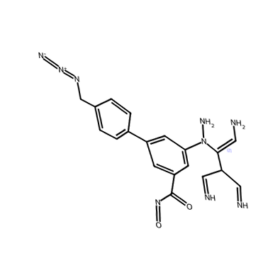 [N-]=[N+]=NCc1ccc(-c2cc(C(=O)N=O)cc(N(N)/C(=C\N)C(C=N)C=N)c2)cc1